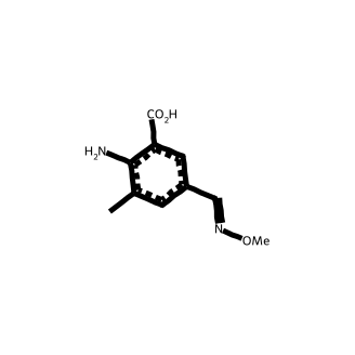 CON=Cc1cc(C)c(N)c(C(=O)O)c1